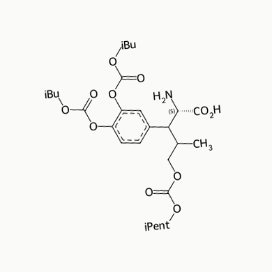 CCCC(C)OC(=O)OCC(C)C(c1ccc(OC(=O)OC(C)CC)c(OC(=O)OC(C)CC)c1)[C@H](N)C(=O)O